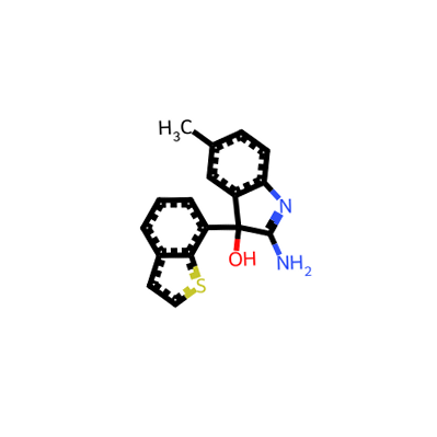 Cc1ccc2c(c1)C(O)(c1cccc3ccsc13)C(N)=N2